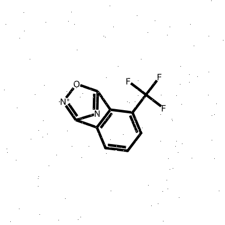 FC(F)(F)c1cccc2c1C1=NC2=[N+]O1